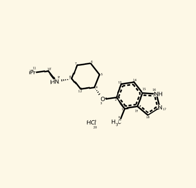 Cc1c(O[C@H]2CCC[C@@H](NCC(C)C)C2)ccc2[nH]ncc12.Cl